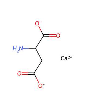 NC(CC(=O)[O-])C(=O)[O-].[Ca+2]